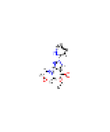 CCOC(=O)c1cn(-c2ccccn2)nc1N1CCOCC1